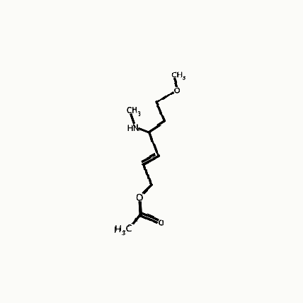 CNC(/C=C/COC(C)=O)CCOC